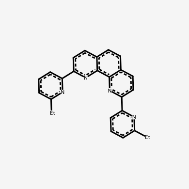 CCc1cccc(-c2ccc3ccc4ccc(-c5cccc(CC)n5)nc4c3n2)n1